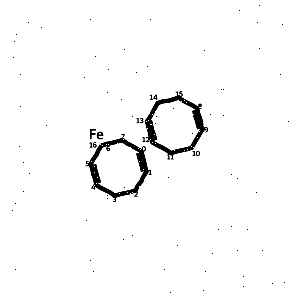 C1=C\CC/C=C\CC/1.C1=C\CC/C=C\CC/1.[Fe]